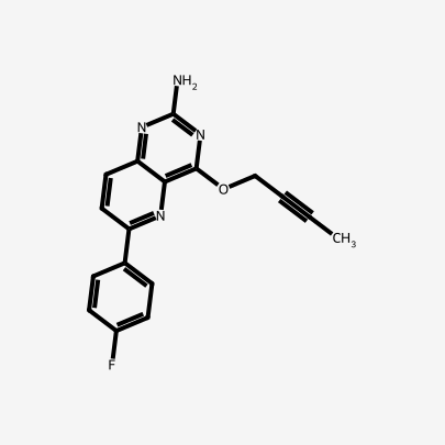 CC#CCOc1nc(N)nc2ccc(-c3ccc(F)cc3)nc12